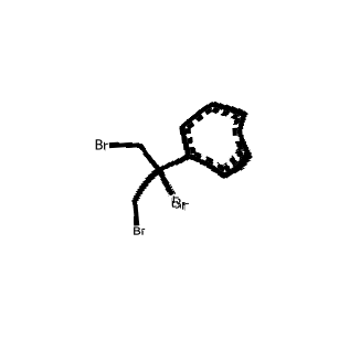 BrCC(Br)(CBr)c1ccccc1